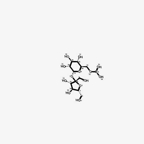 OC[C@H]1O[C@@](CO)(O[C@H]2O[C@H](COB(O)O)[C@@H](O)[C@H](O)[C@H]2O)[C@@H](O)[C@@H]1O